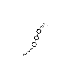 COCc1ccc(-c2ccc([C@H]3CC[C@H](/C=C/CCCF)CC3)cc2)cc1